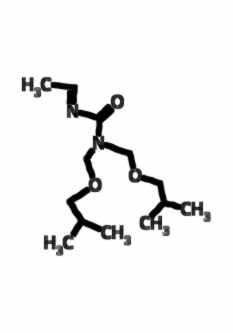 CC=NC(=O)N(COCC(C)C)COCC(C)C